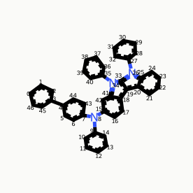 c1ccc(-c2ccc(N(c3ccccc3)c3ccc4c5c6ccccc6n(-c6ccccc6)c5n(-c5ccccc5)c4c3)cc2)cc1